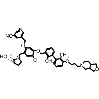 Cc1c(COc2cc(OCc3cncc(C#N)c3)c(CN3CCC[C@H]3C(=O)O)cc2Cl)cccc1-c1cccc(OCCCN2CCC3COCC3C2)c1C